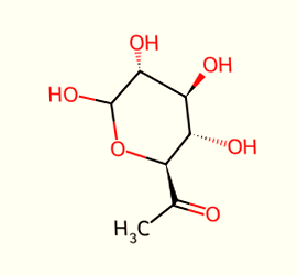 CC(=O)[C@H]1OC(O)[C@H](O)[C@@H](O)[C@@H]1O